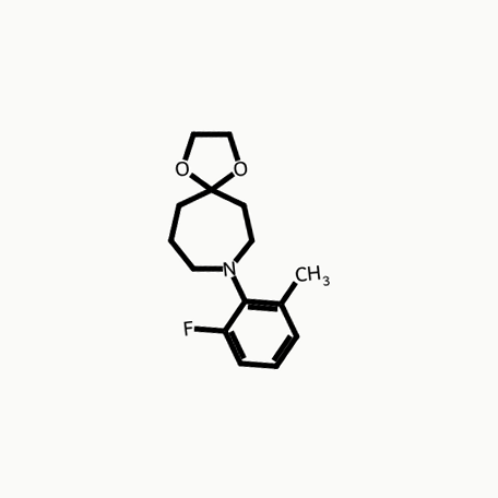 Cc1cccc(F)c1N1CCCC2(CC1)OCCO2